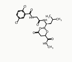 CNC(=O)C1CC(=O)OB([C@H](CC(C)C)NC(=O)CNC(=O)c2cc(Cl)ccc2Cl)O1